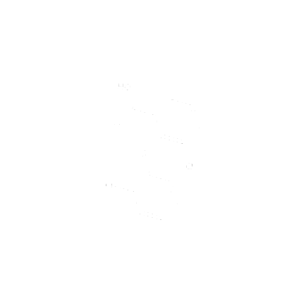 O=C(O)c1ccccc1Sc1c(Cl)cccc1Cl